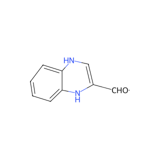 O=[C]C1=CNc2ccccc2N1